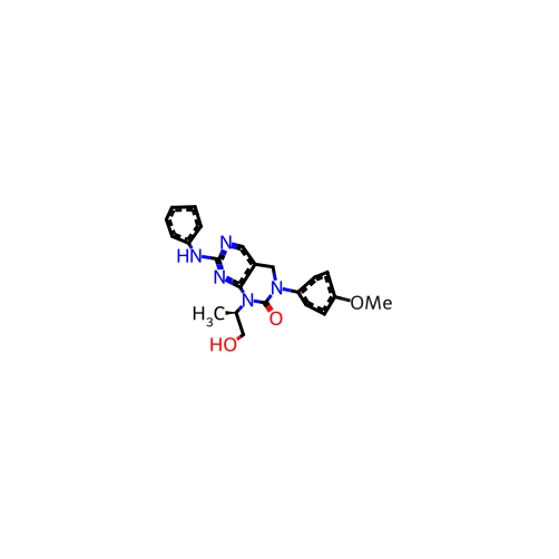 COc1ccc(N2Cc3cnc(Nc4ccccc4)nc3N([C@H](C)CO)C2=O)cc1